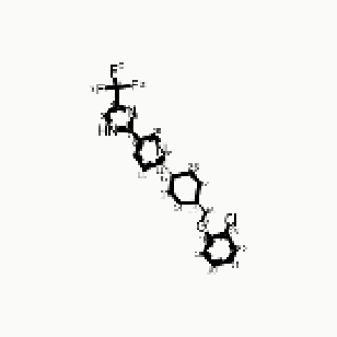 FC(F)(F)c1c[nH]c(-c2ccc([C@H]3CC[C@H](COc4ccccc4Cl)CC3)nc2)n1